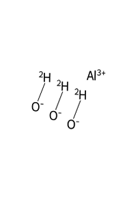 [2H][O-].[2H][O-].[2H][O-].[Al+3]